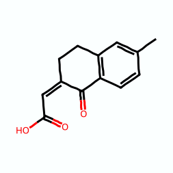 Cc1ccc2c(c1)CC/C(=C/C(=O)O)C2=O